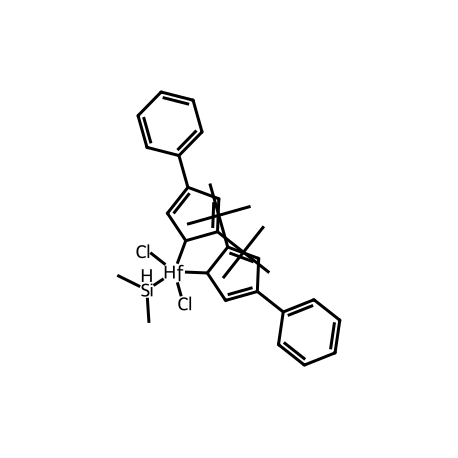 C[SiH](C)[Hf]([Cl])([Cl])([CH]1C=C(c2ccccc2)C=C1C(C)(C)C)[CH]1C=C(c2ccccc2)C=C1C(C)(C)C